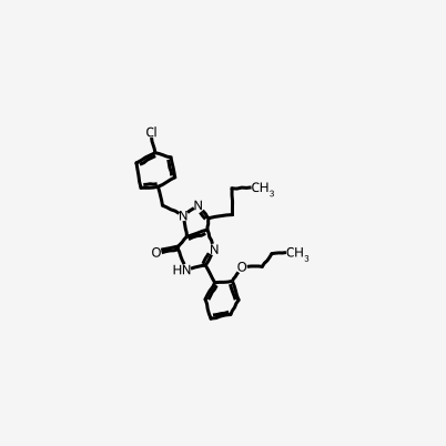 CCCOc1ccccc1-c1nc2c(CCC)nn(Cc3ccc(Cl)cc3)c2c(=O)[nH]1